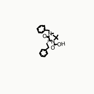 CN(Cc1ccccc1)C(=O)[C@@H](CCc1ccccc1)N(C(=O)O)C(C)(C)C